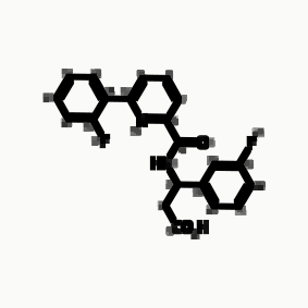 O=C(O)CC(NC(=O)c1cccc(-c2ccccc2F)n1)c1cccc(F)c1